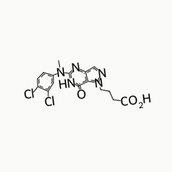 CN(c1ccc(Cl)c(Cl)c1)c1nc2cnn(CCCC(=O)O)c2c(=O)[nH]1